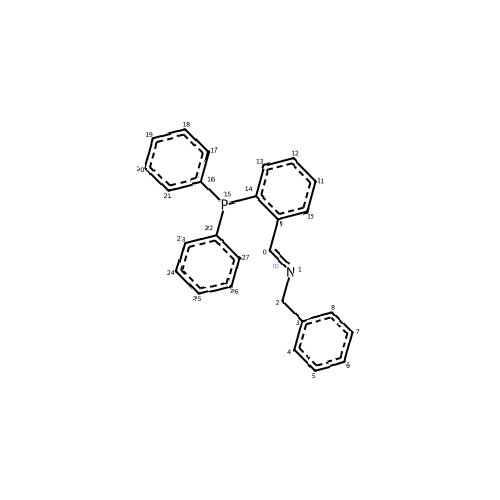 C(=N\Cc1ccccc1)/c1ccccc1P(c1ccccc1)c1ccccc1